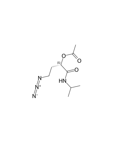 CC(=O)O[C@@H](CCN=[N+]=[N-])C(=O)NC(C)C